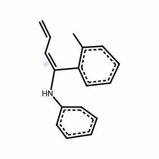 C=C/C=C(/Nc1ccccc1)c1ccccc1C